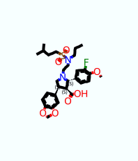 CCCN(CCN1C[C@H](c2ccc3c(c2)OCO3)[C@H](C(=O)O)[C@H]1c1ccc(OC)c(F)c1)S(=O)(=O)CCC(C)C